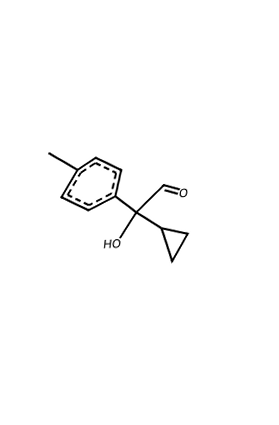 Cc1ccc(C(O)(C=O)C2CC2)cc1